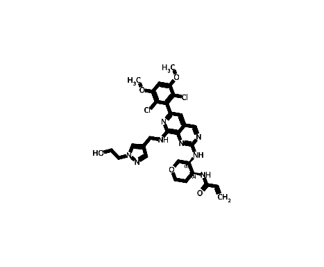 C=CC(=O)N[C@H]1CCOC[C@H]1Nc1ncc2cc(-c3c(Cl)c(OC)cc(OC)c3Cl)nc(NCc3cnn(CCO)c3)c2n1